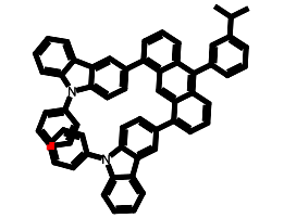 CC(C)c1cccc(-c2c3cccc(-c4ccc5c(c4)c4ccccc4n5-c4ccccc4)c3cc3c(-c4ccc5c(c4)c4ccccc4n5-c4ccccc4)cccc23)c1